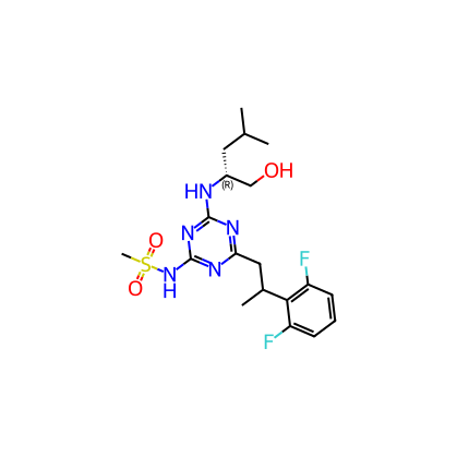 CC(C)C[C@H](CO)Nc1nc(CC(C)c2c(F)cccc2F)nc(NS(C)(=O)=O)n1